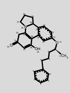 C[C@@H](CCCc1ccccc1)Oc1ccc2c(c1)C1=C(CC(=O)C=C1O)N1CCCC21